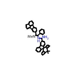 CN/C(=C(\NC(N)c1ccc2c(c1)-c1ccccc1C21c2ccccc2C(C)(C)c2ccccc21)c1ccccc1)c1ccc2c(c1)-c1cccc3cccc-2c13